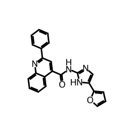 O=C(Nc1ncc(-c2ccco2)[nH]1)c1cc(-c2ccccc2)nc2ccccc12